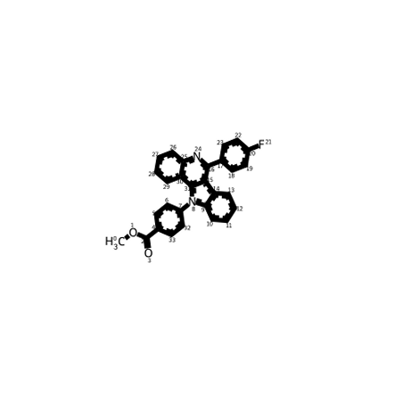 COC(=O)c1ccc(-n2c3ccccc3c3c(-c4ccc(F)cc4)nc4ccccc4c32)cc1